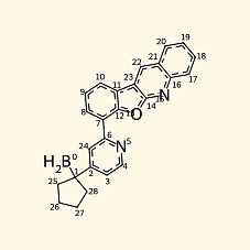 BC1(c2ccnc(-c3cccc4c3oc3nc5ccccc5cc34)c2)CCCC1